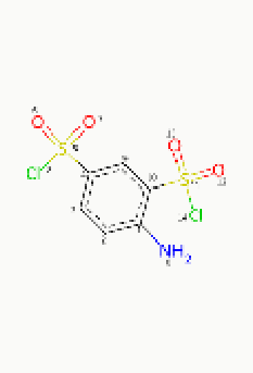 Nc1ccc(S(=O)(=O)Cl)cc1S(=O)(=O)Cl